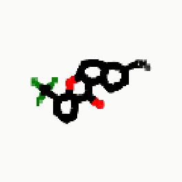 Cc1ccc2c(ccc3oc4c(C(F)(F)F)cccc4c(=O)c32)c1